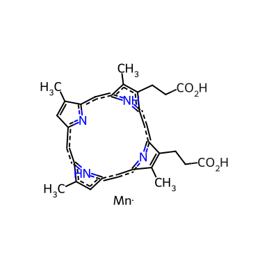 CC1=Cc2cc3[nH]c(cc4nc(cc5[nH]c(cc1n2)c(C)c5CCC(=O)O)C(CCC(=O)O)=C4C)cc3C.[Mn]